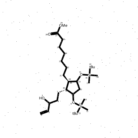 C=CC(O)CC[C@H]1C(O[Si](C)(C)C(C)(C)C)CC(O[Si](C)(C)C(C)(C)C)[C@@H]1CCCCCCC(=O)OC